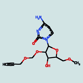 C#CCOCOC1C(O)C(COC)OC1n1ccc(N)nc1=O